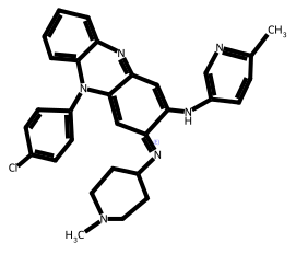 Cc1ccc(Nc2cc3nc4ccccc4n(-c4ccc(Cl)cc4)c-3c/c2=N\C2CCN(C)CC2)cn1